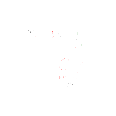 CCOCC.FB(F)F.O=[C-]O.O=[C-]O.O=[C-]O.O=[C-]O.O=[C-]O.[Al+3].[Ni+2]